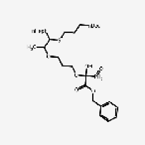 CCCCCCCCCCCCCSC(CCCCCCC)C(C)OCCCOC(O)([PH2]=O)C(=O)OCc1ccccc1